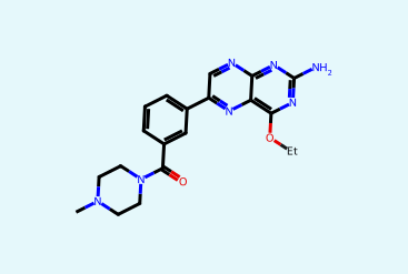 CCOc1nc(N)nc2ncc(-c3cccc(C(=O)N4CCN(C)CC4)c3)nc12